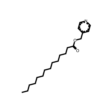 CCCCCCCCCCCCCC(=O)OCc1ccncc1